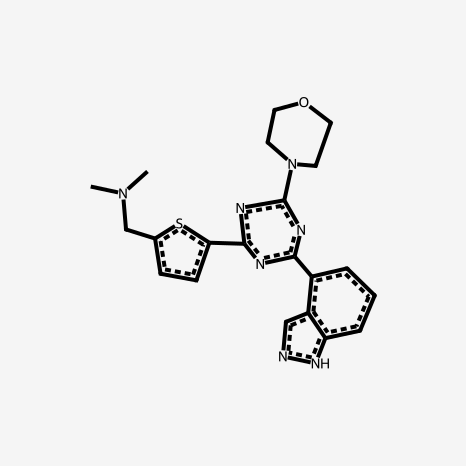 CN(C)Cc1ccc(-c2nc(-c3cccc4[nH]ncc34)nc(N3CCOCC3)n2)s1